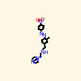 Cc1cc(CCNCC[N+]23CCN(CC2)CC3)ccc1N=Nc1ccc([N+](=O)[O-])cc1